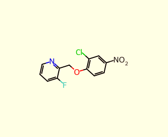 O=[N+]([O-])c1ccc(OCc2ncccc2F)c(Cl)c1